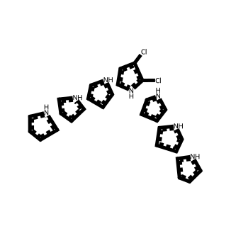 Clc1cc[nH]c1Cl.c1cc[nH]c1.c1cc[nH]c1.c1cc[nH]c1.c1cc[nH]c1.c1cc[nH]c1.c1cc[nH]c1